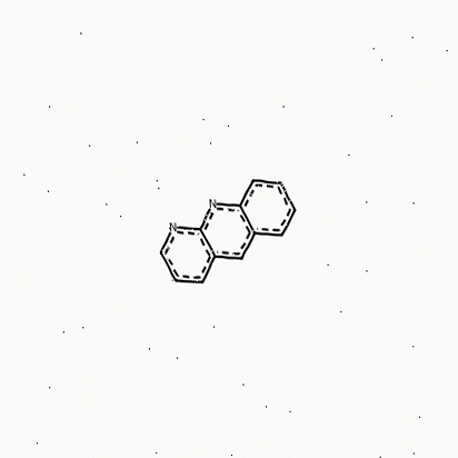 [c]1cnc2nc3ccccc3cc2c1